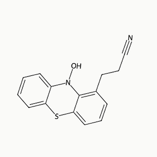 N#CCCc1cccc2c1N(O)c1ccccc1S2